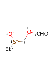 CC[S+]([O-])COC=O